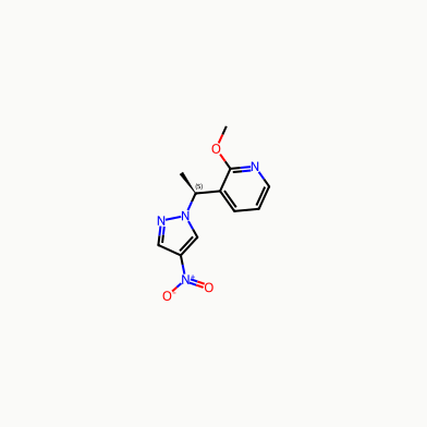 COc1ncccc1[C@H](C)n1cc([N+](=O)[O-])cn1